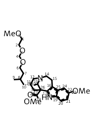 COCCOCOCCC(C)C[C@@H]1CN2CCc3c([nH]c4ccc(OC)cc34)C(C(=O)OC)(C1)C2C